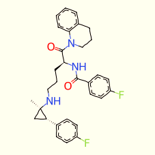 C[C@@]1(NCCC[C@H](NC(=O)c2ccc(F)cc2)C(=O)N2CCCc3ccccc32)C[C@H]1c1ccc(F)cc1